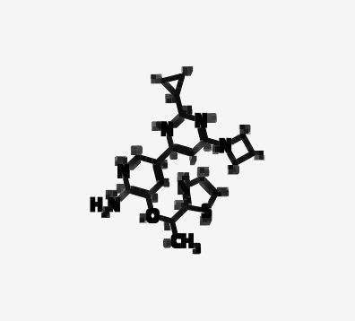 CC(Oc1cc(-c2cc(N3CCC3)nc(C3CC3)n2)cnc1N)c1nccs1